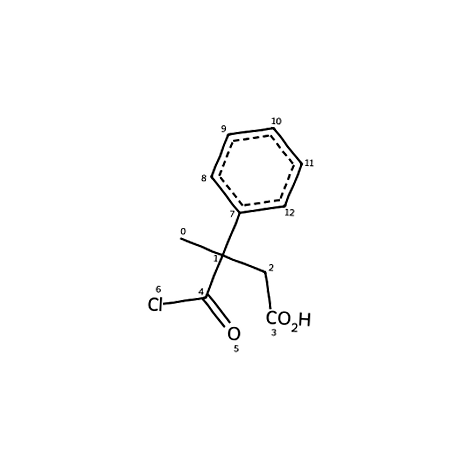 CC(CC(=O)O)(C(=O)Cl)c1ccccc1